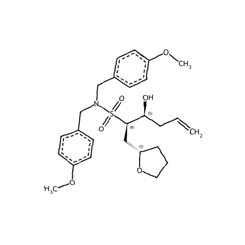 C=CC[C@H](O)[C@@H](C[C@@H]1CCCO1)S(=O)(=O)N(Cc1ccc(OC)cc1)Cc1ccc(OC)cc1